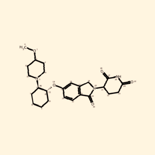 COC1CCN([C@@H]2CCCC[C@H]2Oc2ccc3c(c2)CN(C2CCC(=O)NC2=O)C3=O)CC1